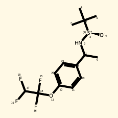 CC(N[S@+]([O-])C(C)(C)C)c1ccc(OC(F)(F)C(F)F)cc1